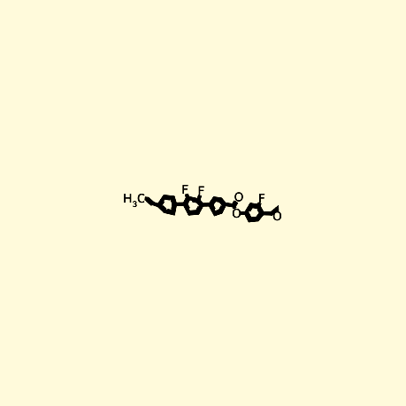 C/C=C/c1ccc(-c2ccc(-c3ccc(C(=O)Oc4ccc(C5CO5)c(F)c4)cc3)c(F)c2F)cc1